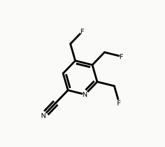 N#Cc1cc(CF)c(CF)c(CF)n1